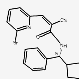 N#CC(=Cc1cccc(Br)n1)C(=O)N[C@@H](c1ccccc1)C1CCC1